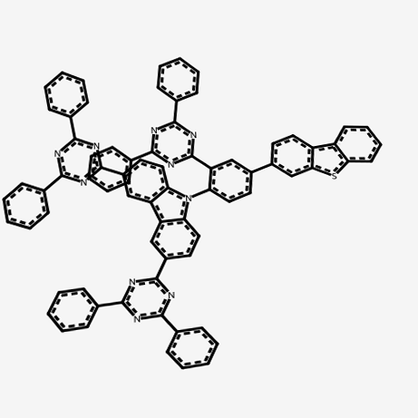 c1ccc(-c2nc(-c3ccccc3)nc(-c3ccc4c(c3)c3cc(-c5nc(-c6ccccc6)nc(-c6ccccc6)n5)ccc3n4-c3ccc(-c4ccc5c(c4)sc4ccccc45)cc3-c3nc(-c4ccccc4)nc(-c4ccccc4)n3)n2)cc1